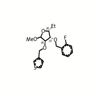 CC[C@H]1OC(OC)[C@H](OCc2ccsc2)[C@H]1OCc1ccccc1F